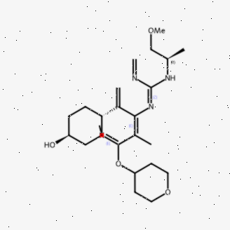 C=N\C(=N/C(=C(C)/C(=N\C)OC1CCOCC1)C(=C)[C@H]1CC[C@H](O)CC1)N[C@H](C)COC